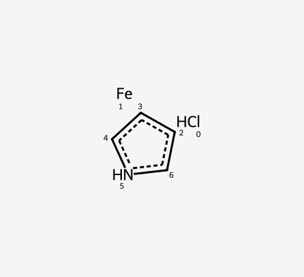 Cl.[Fe].c1cc[nH]c1